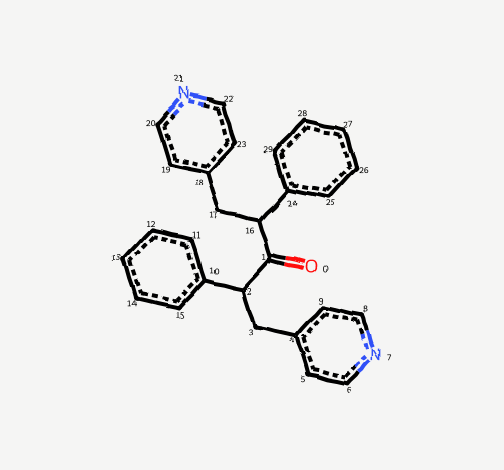 O=C(C(Cc1ccncc1)c1ccccc1)C(Cc1ccncc1)c1ccccc1